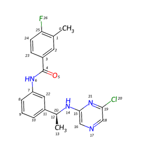 Cc1cc(C(=O)Nc2cccc([C@H](C)Nc3cncc(Cl)n3)c2)ccc1F